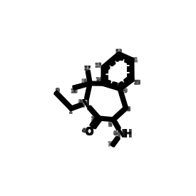 CCN1C(=O)C(NC)Cc2ccccc2C1(C)C